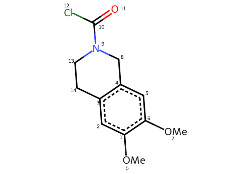 COc1cc2c(cc1OC)CN(C(=O)Cl)CC2